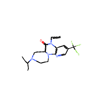 C=CN1C(=O)C2CN(C(C)C)CCN2c2ncc(C(F)(F)F)cc21